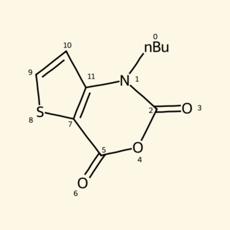 CCCCn1c(=O)oc(=O)c2sccc21